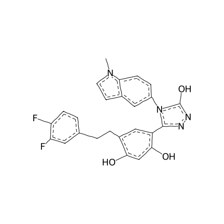 Cn1ccc2cc(-n3c(O)nnc3-c3cc(CCc4ccc(F)c(F)c4)c(O)cc3O)ccc21